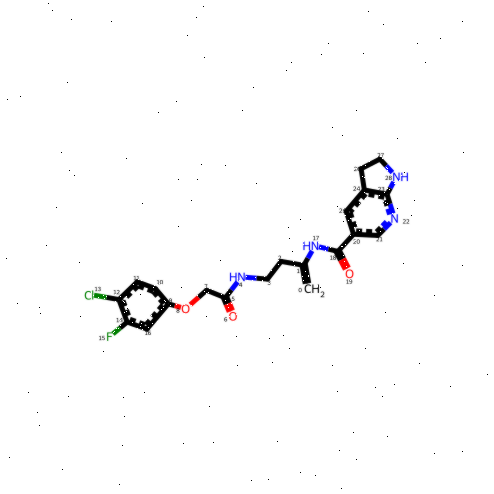 C=C(CCNC(=O)COc1ccc(Cl)c(F)c1)NC(=O)c1cnc2c(c1)CCN2